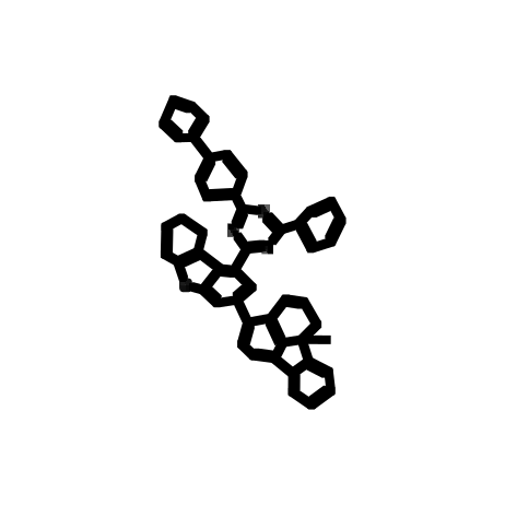 CC12CC=Cc3c(-c4cc(-c5nc(-c6ccccc6)nc(-c6ccc(-c7ccccc7)cc6)n5)c5c6c(oc5c4)C=CCC6)ccc(c31)-c1ccccc12